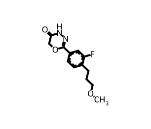 COCCCc1ccc(C2=NNC(=O)CO2)cc1F